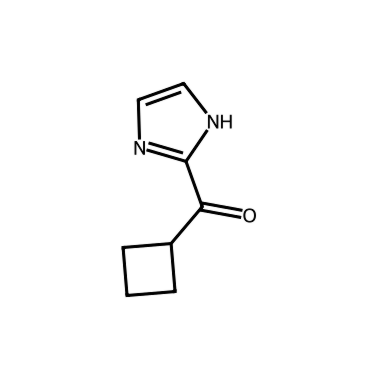 O=C(c1ncc[nH]1)C1CCC1